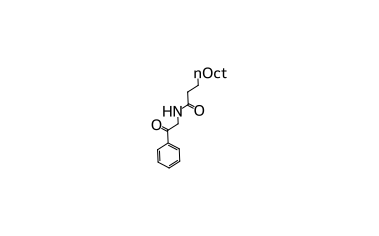 CCCCCCCCCCC(=O)NCC(=O)c1ccccc1